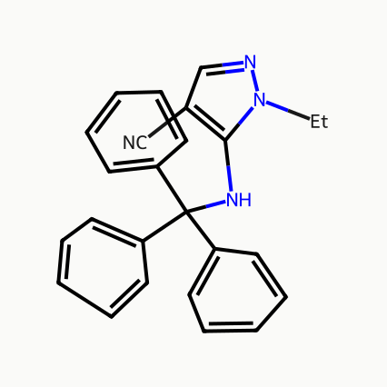 CCn1ncc(C#N)c1NC(c1ccccc1)(c1ccccc1)c1ccccc1